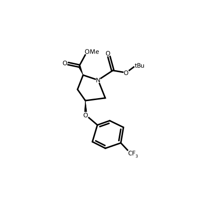 COC(=O)[C@@H]1C[C@H](Oc2ccc(C(F)(F)F)cc2)CN1C(=O)OC(C)(C)C